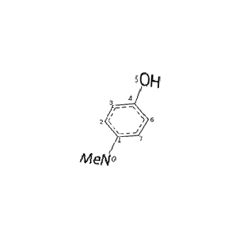 CNc1c[c]c(O)cc1